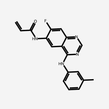 C=CC(=O)Nc1cc2c(Nc3cccc(C)c3)ncnc2cc1F